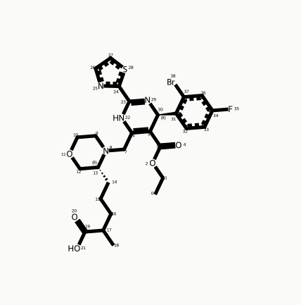 CCOC(=O)C1=C(CN2CCOC[C@H]2CCCC(C)C(=O)O)NC(c2nccs2)=N[C@H]1c1ccc(F)cc1Br